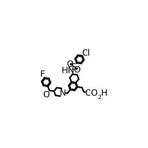 O=C(O)CCc1cc(CN2CCC(C(=O)c3ccc(F)cc3)CC2)cc2c1CCC(NS(=O)(=O)c1ccc(Cl)cc1)C2